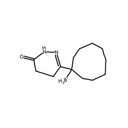 BC1(C2=NNC(=O)CC2)CCCCCCCC1